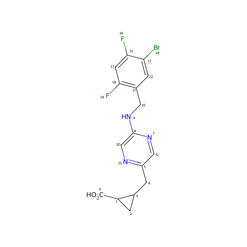 O=C(O)C1CC1Cc1cnc(NCc2cc(Br)c(F)cc2F)cn1